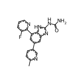 Cc1ccc(-c2cc(-c3ncccc3F)c3[nH]c(NC(N)=O)nc3c2)cn1